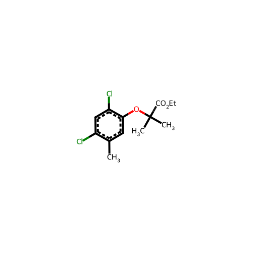 CCOC(=O)C(C)(C)Oc1cc(C)c(Cl)cc1Cl